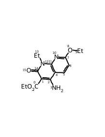 CCOC(=O)c1c(N)c2ccc(OCC)nc2n(CC)c1=O